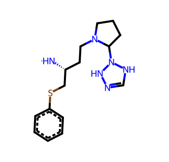 [NH][C@H](CCN1CCCC1N1NC=NN1)CSc1ccccc1